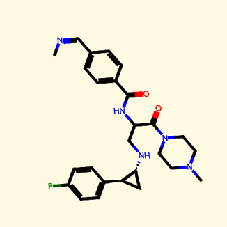 C/N=C\c1ccc(C(=O)NC(CN[C@@H]2C[C@H]2c2ccc(F)cc2)C(=O)N2CCN(C)CC2)cc1